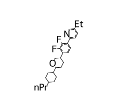 CCCC1CCC(C2CCC(c3ccc(-c4ccc(CC)cn4)c(F)c3F)CO2)CC1